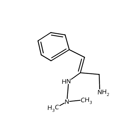 CN(C)NC(=Cc1ccccc1)CN